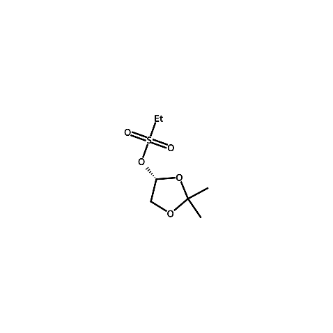 CCS(=O)(=O)O[C@H]1COC(C)(C)O1